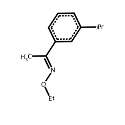 CCON=C(C)c1cccc(C(C)C)c1